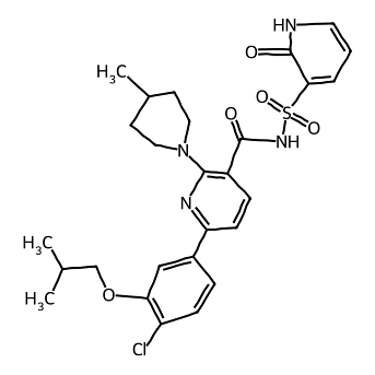 CC(C)COc1cc(-c2ccc(C(=O)NS(=O)(=O)c3ccc[nH]c3=O)c(N3CCC(C)CC3)n2)ccc1Cl